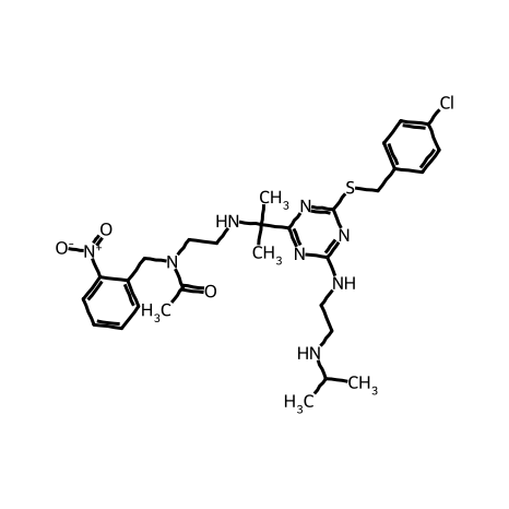 CC(=O)N(CCNC(C)(C)c1nc(NCCNC(C)C)nc(SCc2ccc(Cl)cc2)n1)Cc1ccccc1[N+](=O)[O-]